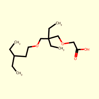 CCC(CC)CCOCC(CC)(CC)COCC(=O)O